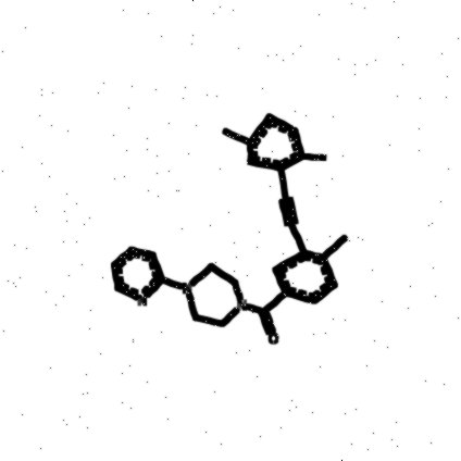 Cc1ccc(C)c(C#Cc2cc(C(=O)N3CCN(c4ccccn4)CC3)ccc2C)c1